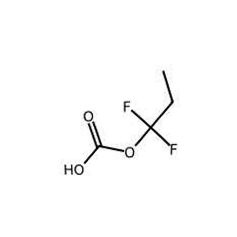 CCC(F)(F)OC(=O)O